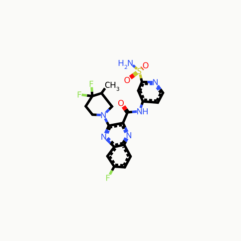 CC1CN(c2nc3cc(F)ccc3nc2C(=O)Nc2ccnc(S(N)(=O)=O)c2)CCC1(F)F